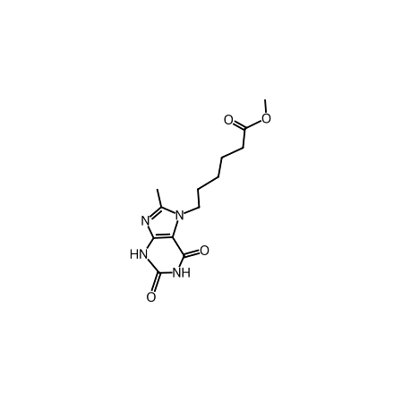 COC(=O)CCCCCn1c(C)nc2[nH]c(=O)[nH]c(=O)c21